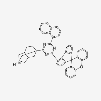 c1ccc2c(c1)Oc1ccccc1C21c2ccccc2-c2c(-c3nc(-c4cccc5ccccc45)nc(C45CCC6C[C@H](CC6C4)C5)n3)cccc21